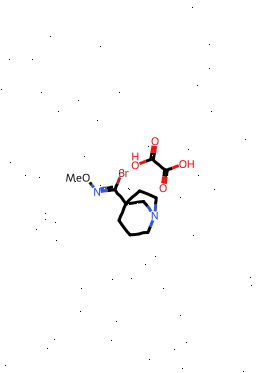 CON=C(Br)C12CCCN(CC1)C2.O=C(O)C(=O)O